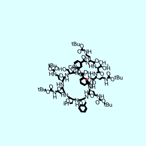 CC(C)C[C@@H]1NC(=O)[C@@H](Cc2ccccc2)NC(=O)[C@H](CCNC(=O)OC(C)(C)C)NC(=O)[C@@H](NC(=O)[C@H](CCNC(=O)OC(C)(C)C)NC(=O)[C@@H](NC(=O)[C@H](CCNC(=O)OC(C)(C)C)NC(=O)c2ccnc(OC(=O)c3cccc(Cl)c3)c2)C(C)O)CCNC(=O)[C@H]([C@H](C)O)NC(=O)[C@H](CCNC(=O)OC(C)(C)C)NC(=O)[C@H](CCNC(=O)OC(C)(C)C)NC1=O